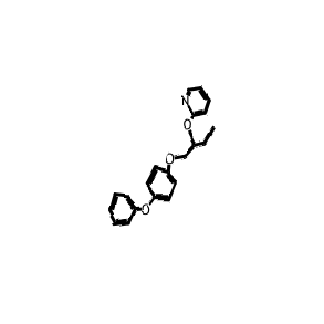 CCC(COc1ccc(Oc2ccccc2)cc1)Oc1ccccn1